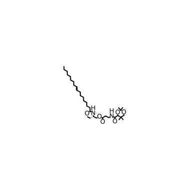 CCCCCCCCC=CCCCCCCCC(=O)N[C@@H](CC)COC(=O)CCNC(=O)C1OC(C)(C)OCC1(C)C